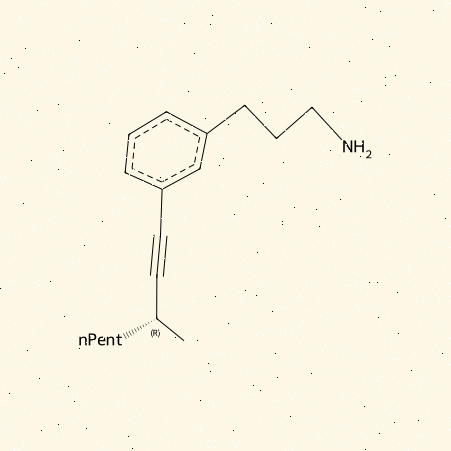 CCCCC[C@@H](C)C#Cc1cccc(CCCN)c1